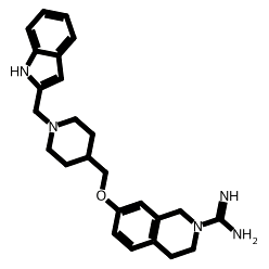 N=C(N)N1CCc2ccc(OCC3CCN(Cc4cc5ccccc5[nH]4)CC3)cc2C1